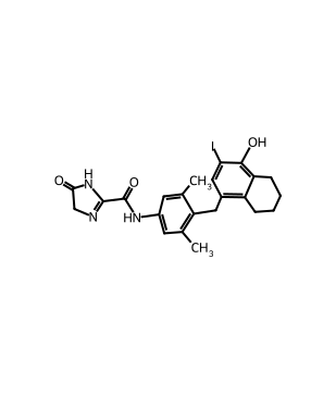 Cc1cc(NC(=O)C2=NCC(=O)N2)cc(C)c1Cc1cc(I)c(O)c2c1CCCC2